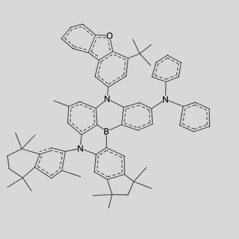 Cc1cc2c3c(c1)N(c1cc4c(cc1C)C(C)(C)CCC4(C)C)c1cc4c(cc1B3c1ccc(N(c3ccccc3)c3ccccc3)cc1N2c1cc(C(C)(C)C)c2oc3ccccc3c2c1)C(C)(C)CC4(C)C